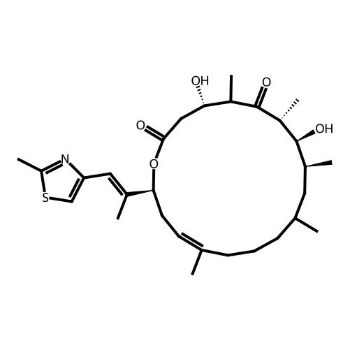 C/C1=C/C[C@@H](/C(C)=C/c2csc(C)n2)OC(=O)C[C@H](O)C(C)C(=O)[C@H](C)[C@@H](O)[C@@H](C)CC(C)CCC1